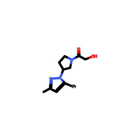 Cc1cc(C(C)C)n(C2CCN(C(=O)CO)C2)n1